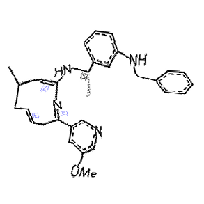 COc1cncc(C2=N/C(N[C@@H](C)c3cccc(NCc4ccccc4)c3)=C\C(C)C\C=C\2)c1